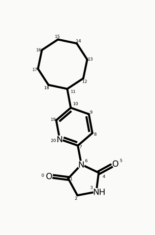 O=C1CNC(=O)N1c1ccc(C2CCCCCCC2)cn1